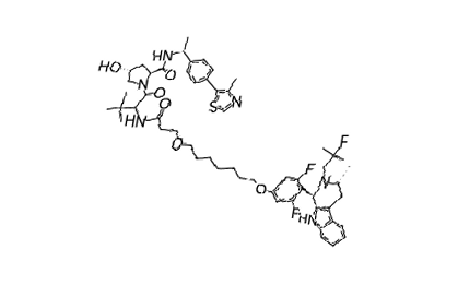 Cc1ncsc1-c1ccc(C(C)NC(=O)[C@@H]2C[C@@H](O)CN2C(=O)C(NC(=O)CCOCCCCCCCOc2cc(F)c([C@@H]3c4[nH]c5ccccc5c4C[C@@H](C)N3CC(C)(C)F)c(F)c2)C(C)(C)C)cc1